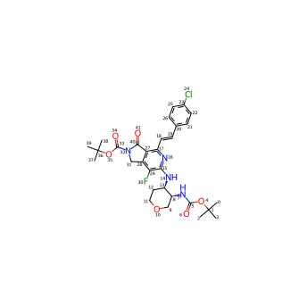 CC(C)(C)OC(=O)N[C@H]1COCC[C@H]1Nc1nc(/C=C/c2ccc(Cl)cc2)c2c(c1F)CN(C(=O)OC(C)(C)C)C2=O